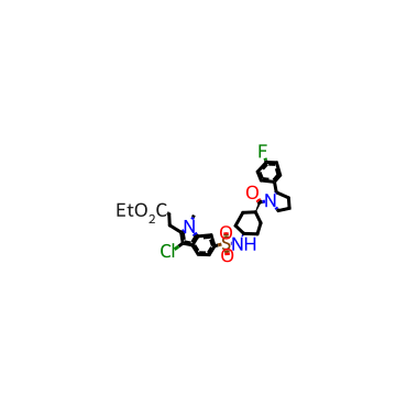 CCOC(=O)CCc1c(Cl)c2ccc(S(=O)(=O)N[C@H]3CC[C@H](C(=O)N4CCCC4c4ccc(F)cc4)CC3)cc2n1C